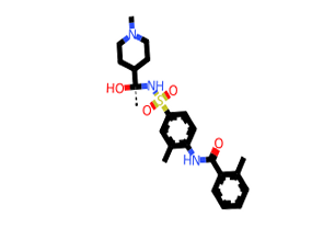 Cc1cc(S(=O)(=O)N[C@@](C)(O)C2CCN(C)CC2)ccc1NC(=O)c1ccccc1C